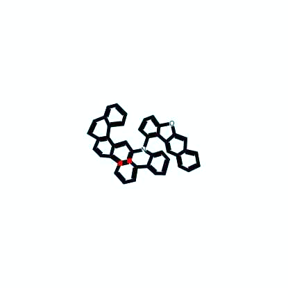 c1ccc(-c2ccccc2N(c2ccc3ccc4ccc5ccccc5c4c3c2)c2cccc3oc4cc5ccccc5cc4c23)cc1